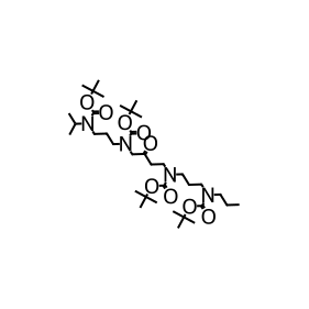 CCCN(CCCN(CCC(=O)CN(CCCN(C(=O)OC(C)(C)C)C(C)C)C(=O)OC(C)(C)C)C(=O)OC(C)(C)C)C(=O)OC(C)(C)C